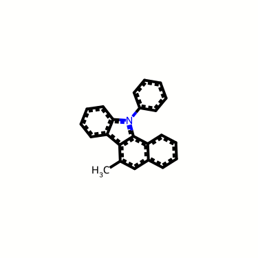 Cc1cc2ccccc2c2c1c1ccccc1n2-c1ccccc1